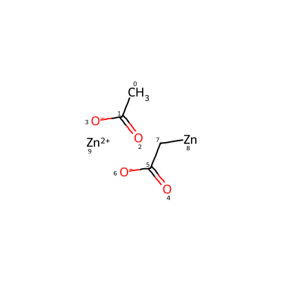 CC(=O)[O-].O=C([O-])[CH2][Zn].[Zn+2]